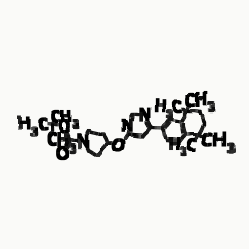 CC(C)(C)OC(=O)N1CCC(Oc2cc(-c3ccc4c(c3)C(C)(C)CCC4(C)C)ncn2)CC1